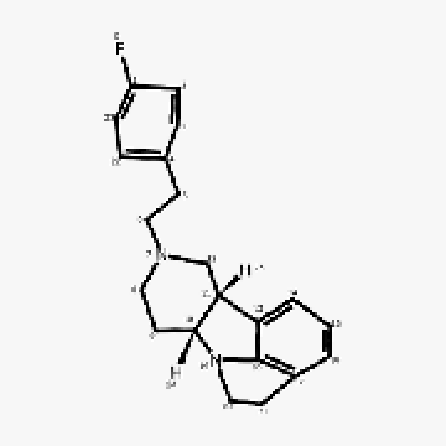 Fc1ccc(CCN2CC[C@@H]3[C@H](C2)c2cccc4c2N3CC4)cc1